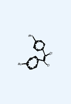 CCC(=C(CC)c1ccc(C(C)CC)cc1)c1ccc(C(C)CC)cc1